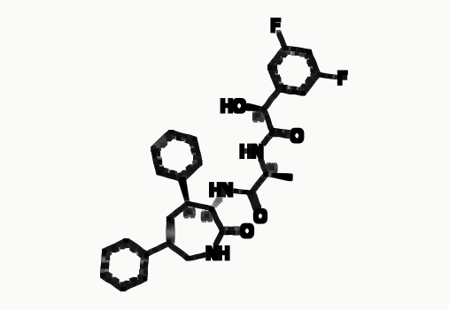 C[C@H](NC(=O)[C@@H](O)c1cc(F)cc(F)c1)C(=O)N[C@@H]1C(=O)NCC(c2ccccc2)=C[C@H]1c1ccccc1